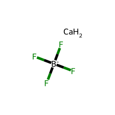 F[B-](F)(F)F.[CaH2]